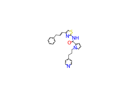 O=C(Nc1nc(C=CCc2ccccc2)cs1)c1cccn1CCCc1ccncc1